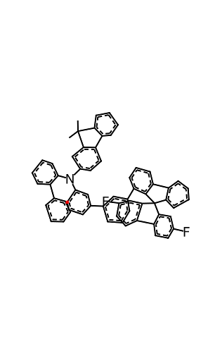 CC1(C)c2ccccc2-c2ccc(N(c3cccc(-c4cccc(-c5cccc6c5C5(c7cc(F)ccc7-c7ccc(F)cc75)c5ccccc5-6)c4)c3)c3ccccc3-c3ccccc3)cc21